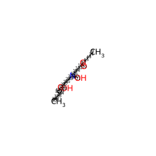 CCCCCCCCOC(=O)CCCCCCCN(CCO)CCCCCCCC(O)Oc1ccc(CCCCC)cc1